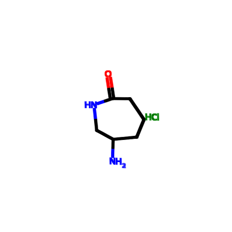 Cl.NC1CCCC(=O)NC1